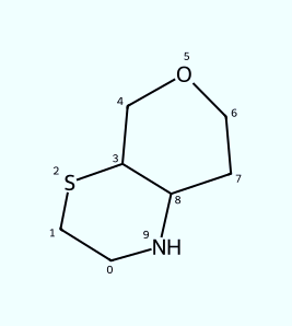 C1CSC2COCCC2N1